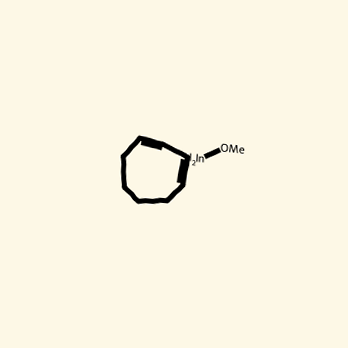 C1=C\CCCC\C=C/1.C[O][InH2]